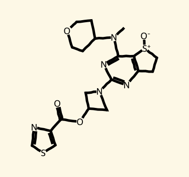 CN(c1nc(N2CC(OC(=O)c3cscn3)C2)nc2c1[S+]([O-])CC2)C1CCOCC1